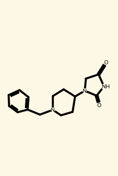 O=C1[CH]N(C2CCN(Cc3ccccc3)CC2)C(=O)N1